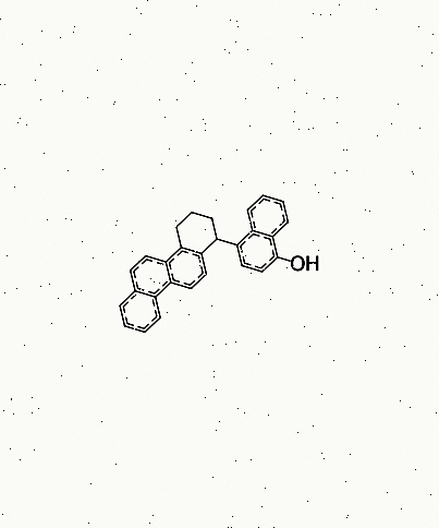 Oc1ccc(C2CCCc3c2ccc2c3ccc3ccccc32)c2ccccc12